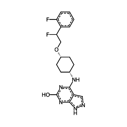 Oc1nc(N[C@H]2CC[C@@H](OCC(F)c3ccccc3F)CC2)c2cn[nH]c2n1